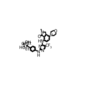 CCC(CC)(c1ccc(Nc2ncc(C(F)(F)F)c(Nc3ccc(N4CCOCC4)c4c3C(=O)N(C)C4)n2)cc1)P(=O)(O)O